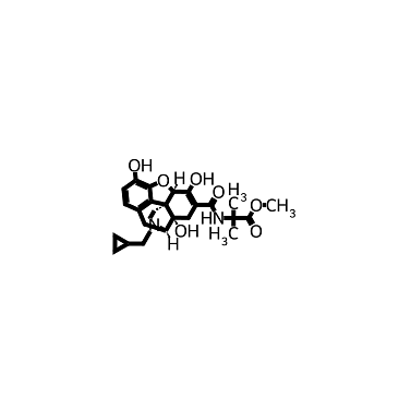 COC(=O)C(C)(C)NC(=O)C1=C(O)[C@@H]2Oc3c(O)ccc4c3[C@@]23CCN(CC2CC2)[C@H](C4)[C@]3(O)C1